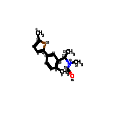 Cc1ccc(-c2ccc(C)c(C(C)N(C)C=O)c2)s1